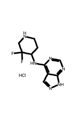 Cl.FC1(F)CNCCC1Nc1ncnc2[nH]ncc12